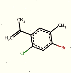 C=C(C)c1cc(C)c(Br)cc1Cl